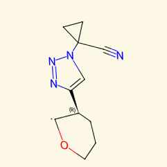 N#CC1(n2cc([C@@H]3[CH]OCCC3)nn2)CC1